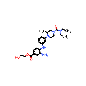 CCN(CC)C(=O)N1CCN(c2cccc(Nc3ccc(C(=O)OCCO)cc3N)c2)C(C)C1